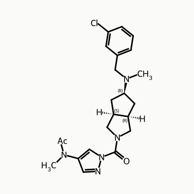 CC(=O)N(C)c1cnn(C(=O)N2C[C@H]3C[C@@H](N(C)Cc4cccc(Cl)c4)C[C@H]3C2)c1